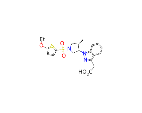 CCOc1ccc(S(=O)(=O)N2C[C@@H](C)[C@@H](n3nc(CC(=O)O)c4ccccc43)C2)s1